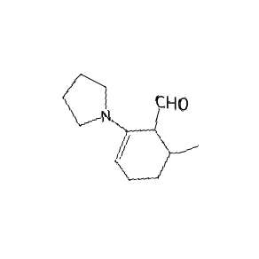 CC1CCC=C(N2CCCC2)C1C=O